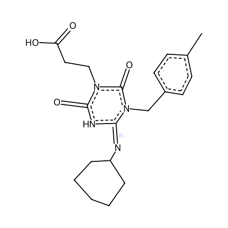 Cc1ccc(Cn2c(=O)n(CCC(=O)O)c(=O)[nH]/c2=N\C2CCCCC2)cc1